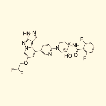 O=C(N[C@H]1CCN(c2ccc(-c3cc(OCC(F)F)cn4nc5[nH]ncc5c34)cn2)C[C@H]1O)c1c(F)cccc1F